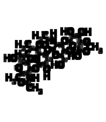 CO[C@@H]1C(C(=O)O)O[C@@H](O[C@@H]2C(NC(C)=O)[C@H](O[C@H]3CC(O)[C@H](O[C@@H]4C(NC(C)=O)[C@H](C)OC(CO)[C@H]4O)OC3C(=O)C(C)C)OC(CO)[C@H]2O)C(O)[C@H]1O